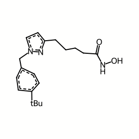 CC(C)(C)c1ccc(Cn2ccc(CCCCC(=O)NO)n2)cc1